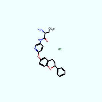 Cl.NC(CC(=O)O)C(=O)Nc1ccc(Oc2ccc3c(c2)CCC(c2ccccc2)O3)nc1